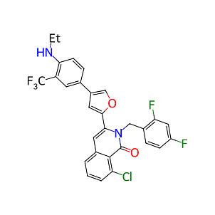 CCNc1ccc(-c2coc(-c3cc4cccc(Cl)c4c(=O)n3Cc3ccc(F)cc3F)c2)cc1C(F)(F)F